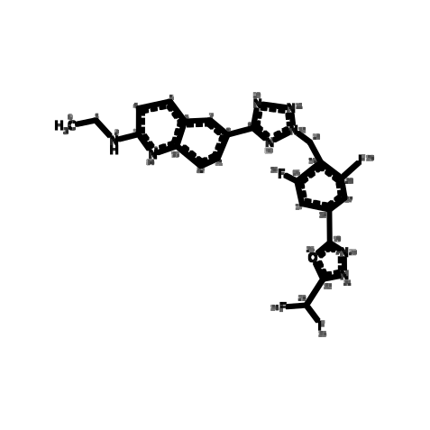 CCNc1ccc2cc(-c3nnn(Cc4c(F)cc(-c5nnc(C(F)F)o5)cc4F)n3)ccc2n1